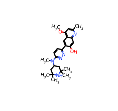 COc1cc(C)nc2cc(O)c(-c3ccc(N(C)C4CC(C)(C)NC(C)(C)C4)nn3)cc12